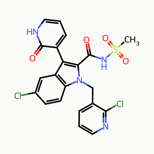 CS(=O)(=O)NC(=O)c1c(-c2ccc[nH]c2=O)c2cc(Cl)ccc2n1Cc1cccnc1Cl